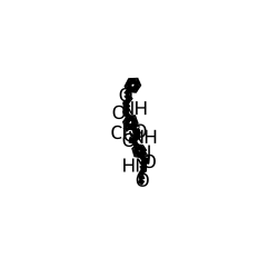 COCCNC(=O)c1ccc(C(=O)NS(=O)(=O)c2ccc(C(=O)NCCOc3ccccc3)cc2Cl)cn1